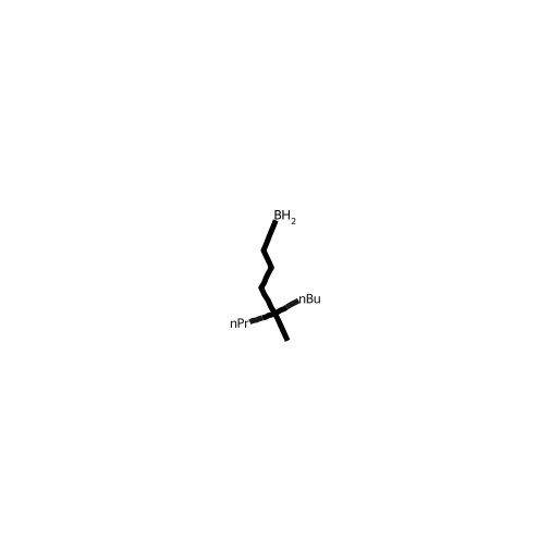 BCCCC(C)(CCC)CCCC